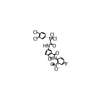 O=C(Nc1ccc(F)cc1[N+](=O)[O-])c1cc(NC(=O)C2[C@H](c3ccc(Cl)c(Cl)c3)C2(Cl)Cl)ccc1Cl